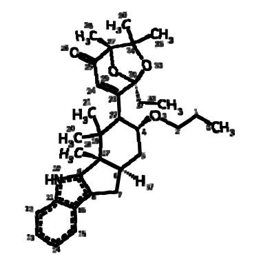 CCCO[C@H]1C[C@H]2Cc3c([nH]c4ccccc34)[C@]2(C)C(C)(C)C1C1=CC(=O)[C@@]2(C)O[C@@]1(CC)OC2(C)C